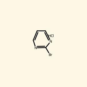 Brc1ncccn1.Cl